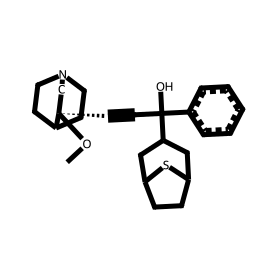 CO[C@]1(C#CC(O)(c2ccccc2)C2CC3CCC(C2)S3)CN2CCC1CC2